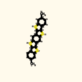 Cc1ccc2c(c1)sc1c3cc4sc5c6ccc(C)cc6sc5c4cc3sc21